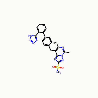 CCCc1nc(C)n2nc(S(N)(=O)=O)nc2c1Cc1ccc(-c2ccccc2-c2nnn[nH]2)cc1